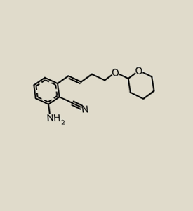 N#Cc1c(N)cccc1/C=C/CCOC1CCCCO1